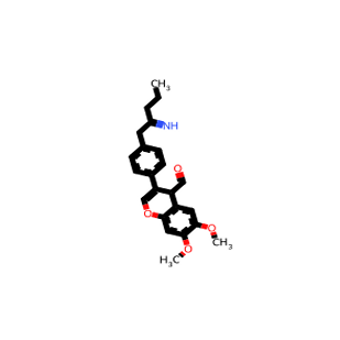 CCCC(=N)Cc1ccc(C2=COc3cc(OC)c(OC)cc3C2C=O)cc1